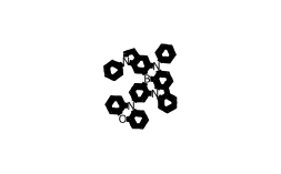 c1ccc(N2CCc3cc4c(cc32)B2c3ccc(N5c6ccccc6Oc6ccccc65)cc3-n3c5ccccc5c5ccc(c2c53)N4c2ccccc2)cc1